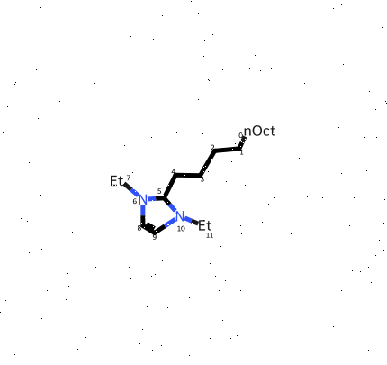 CCCCCCCCCCCCC1N(CC)C=CN1CC